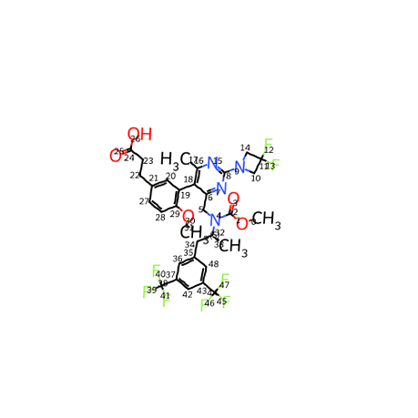 COC(=O)N(Cc1nc(N2CC(F)(F)C2)nc(C)c1-c1cc(CCC(=O)O)ccc1OC)[C@@H](C)Cc1cc(C(F)(F)F)cc(C(F)(F)F)c1